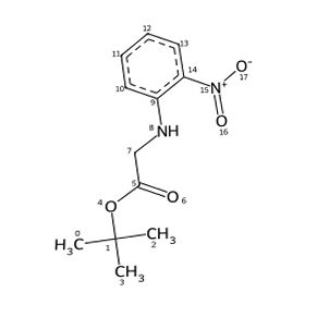 CC(C)(C)OC(=O)CNc1ccccc1[N+](=O)[O-]